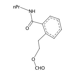 CCCNC(=O)c1ccccc1CCOC=O